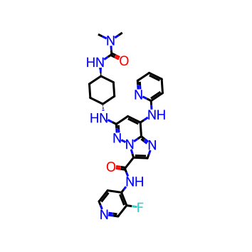 CN(C)C(=O)N[C@H]1CC[C@H](Nc2cc(Nc3ccccn3)c3ncc(C(=O)Nc4ccncc4F)n3n2)CC1